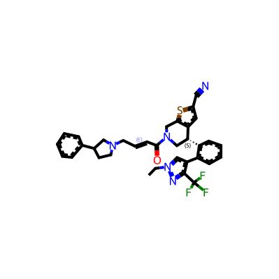 CCn1cc(-c2ccccc2[C@@H]2CN(C(=O)/C=C/CN3CCC(c4ccccc4)C3)Cc3sc(C#N)cc32)c(C(F)(F)F)n1